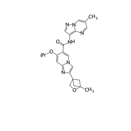 Cc1cnc2c(NC(=O)c3cn4cc(C56COC(C)(C5)C6)nc4cc3OC(C)C)cnn2c1